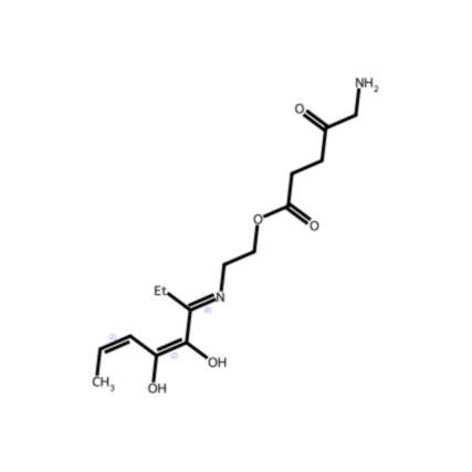 C\C=C/C(O)=C(O)\C(CC)=N\CCOC(=O)CCC(=O)CN